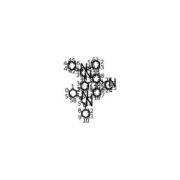 c1ccc(-c2cc(-c3ccccc3)nc(-c3cccc(-c4c(-c5cccnc5)cccc4-c4ccccc4-c4cc(-c5ccccc5)nc(-c5ccccc5)n4)c3)n2)cc1